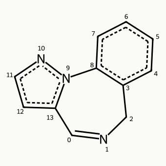 C1=NCc2ccccc2-n2nccc21